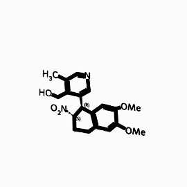 COc1cc2c(cc1OC)[C@H](c1cncc(C)c1CO)[C@@H]([N+](=O)[O-])CC2